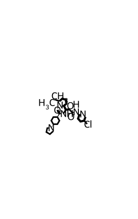 CC(C)c1ccc2oc(C(=O)Nc3ccc(Cl)cn3)c(NC(=O)[C@H]3CC[C@H](N4CCCC4)CC3)c2n1